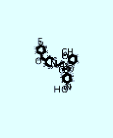 COc1ccccc1N(CCN1CCC(C(=O)c2ccc(F)cc2)CC1)S(=O)(=O)C1=CCC(=NO)C=C1